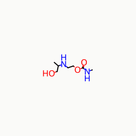 CNC(=O)OCCNC(C)CO